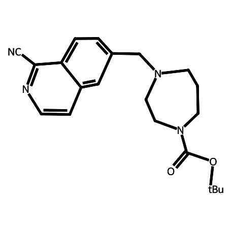 CC(C)(C)OC(=O)N1CCCN(Cc2ccc3c(C#N)nccc3c2)CC1